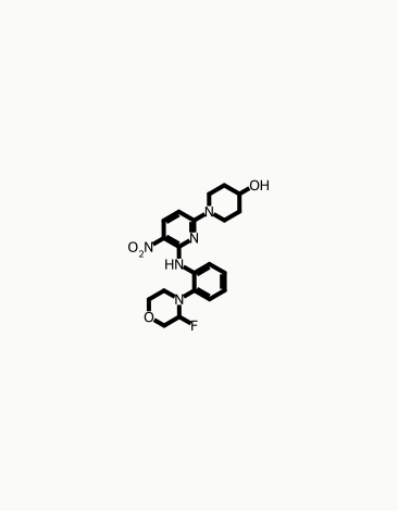 O=[N+]([O-])c1ccc(N2CCC(O)CC2)nc1Nc1ccccc1N1CCOCC1F